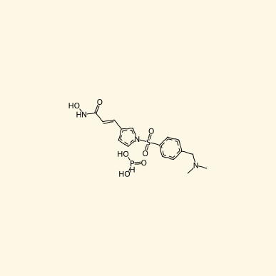 CN(C)Cc1ccc(S(=O)(=O)n2ccc(/C=C/C(=O)NO)c2)cc1.O=[PH](O)O